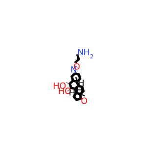 C[C@]12CCC(=NOCCCN)CC1[C@@H](CO)[C@@H](O)[C@@H]1[C@@H]2CC[C@]2(C)C(=O)CC[C@@H]12